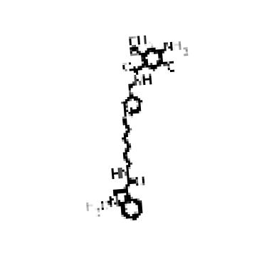 COc1cc(N)c(Cl)cc1C(=O)NC[C@H]1CCN(CCCCCCNC(=O)c2cn(C)c3ccccc23)C1